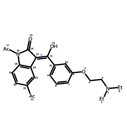 CCN(CC)CCOc1cccc(/C(O)=C2/C(=O)N(C(C)=O)c3ccc(C(C)=O)cc32)c1